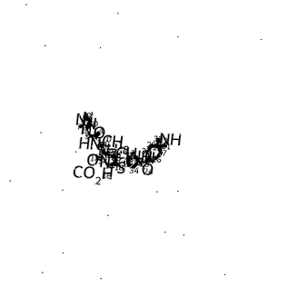 C[C@@H](NC(=O)Cn1cnnn1)[C@H]1C(=O)N2C(C(=O)O)=C(S[C@@H]3CN[C@H](C(=O)N4CCC5(CC4)CNC5)C3)[C@H](C)[C@H]12